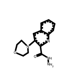 NNC(=O)c1nc2ccccc2cc1N1CCOCC1